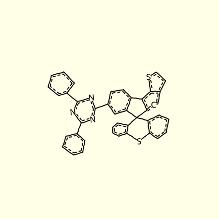 c1ccc(-c2nc(-c3ccccc3)nc(-c3ccc4c(c3)C3(c5ccccc5Sc5ccccc53)c3ccc5ccsc5c3-4)n2)cc1